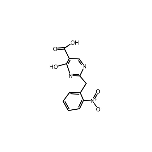 O=C(O)c1cnc(Cc2ccccc2[N+](=O)[O-])nc1O